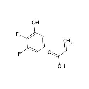 C=CC(=O)O.Oc1cccc(F)c1F